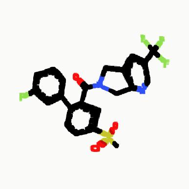 CS(=O)(=O)c1ccc(-c2cccc(F)c2)c(C(=O)N2Cc3cc(C(F)(F)F)cnc3C2)c1